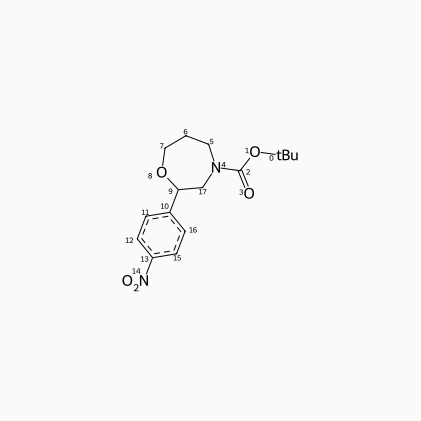 CC(C)(C)OC(=O)N1CCCOC(c2ccc([N+](=O)[O-])cc2)C1